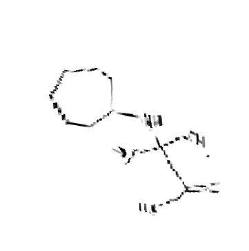 CC(=O)C(C)(C)NC1CCCCC1